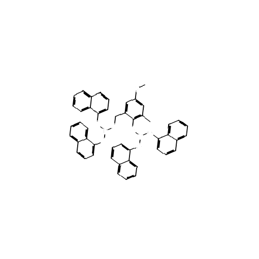 CSc1cc(C)c(OP(Oc2cccc3ccccc23)Oc2cccc3ccccc23)c(COP(Oc2cccc3ccccc23)Oc2cccc3ccccc23)c1